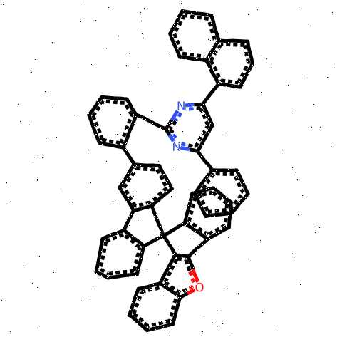 c1ccc(-c2cc(-c3cccc4ccccc34)nc(-c3ccccc3-c3ccc4c(c3)-c3ccccc3C43c4ccccc4-c4oc5ccccc5c43)n2)cc1